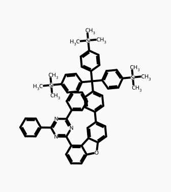 C[Si](C)(C)c1ccc(C(c2ccc(-c3ccc4oc5cccc(-c6nc(-c7ccccc7)nc(-c7ccccc7)n6)c5c4c3)cc2)(c2ccc([Si](C)(C)C)cc2)c2ccc([Si](C)(C)C)cc2)cc1